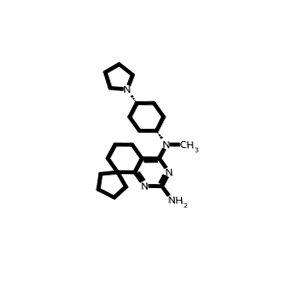 CN(c1nc(N)nc2c1CCCC21CCCC1)[C@H]1CC[C@@H](N2CCCC2)CC1